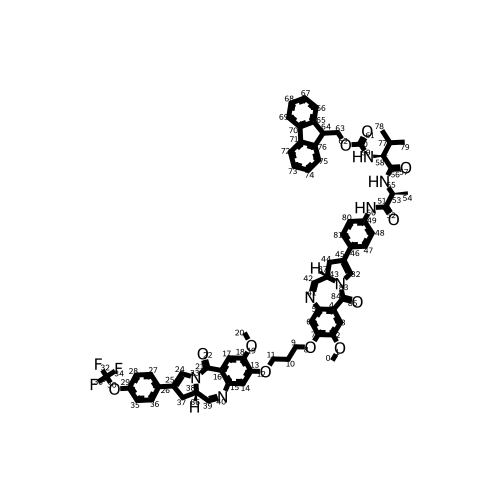 COc1cc2c(cc1OCCCOc1cc3c(cc1OC)C(=O)N1C=C(c4ccc(OC(F)(F)F)cc4)C[C@H]1C=N3)N=C[C@@H]1CC(c3ccc(NC(=O)[C@H](C)NC(=O)[C@@H](NC(=O)OCC4c5ccccc5-c5ccccc54)C(C)C)cc3)=CN1C2=O